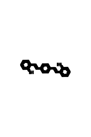 Sc1ccccc1/C=C/c1ccc(/C=C/c2ccccc2S)cc1